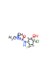 CN(C)NC(=O)Nc1cc(O)c(Cl)cc1F